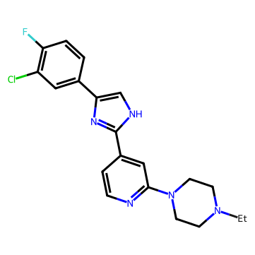 CCN1CCN(c2cc(-c3nc(-c4ccc(F)c(Cl)c4)c[nH]3)ccn2)CC1